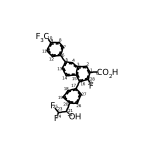 O=C(O)c1cc2cc(-c3ccc(C(F)(F)F)cc3)ccc2c(-c2ccc([C@@H](O)C(F)F)cc2)c1F